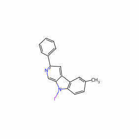 Cc1ccc2c(c1)c1cc(-c3ccccc3)ncc1n2I